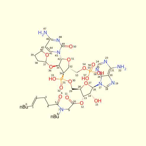 CCCC/C=C/CCC(=O)N(CCCC)CC(=O)O[C@H]1[C@@H](O)[C@H](n2cnc3c(N)ncnc32)O[C@@H]1COP(=O)(O)[C@H]1[C@@H](OC2CCCO2)[C@H](n2ccc(N)nc2=O)O[C@@H]1COP(=O)(O)O